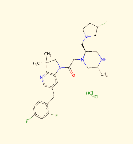 C[C@@H]1CN(CC(=O)N2CC(C)(C)c3ncc(Cc4ccc(F)cc4F)cc32)[C@@H](CN2CC[C@H](F)C2)CN1.Cl.Cl